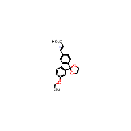 CC(C)(C)COc1cccc(C2(c3ccc(/C=C/C(=O)O)cc3)OCCO2)c1